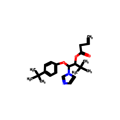 C=CCC(=O)OC(C(Oc1ccc(C(C)(C)C)cc1)n1ccnc1)C(C)(C)C